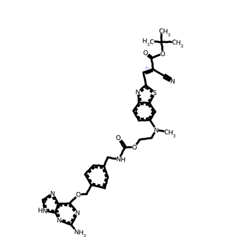 CN(CCOC(=O)NCc1ccc(COc2nc(N)nc3[nH]cnc23)cc1)c1ccc2nc(/C=C(\C#N)C(=O)OC(C)(C)C)sc2c1